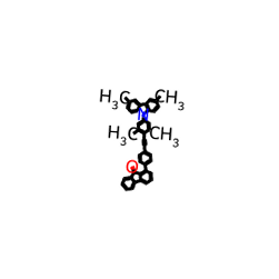 Cc1ccc2c(c1)c1cc(C)ccc1n2-c1cc(C)c(C#Cc2ccc(-c3cccc4c3C(=O)c3ccccc3-4)cc2)c(C)c1